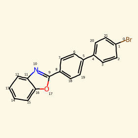 Brc1ccc(-c2ccc(-c3nc4ccccc4o3)cc2)cc1